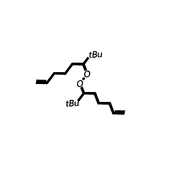 C=CCCCC(OOC(CCCC=C)C(C)(C)C)C(C)(C)C